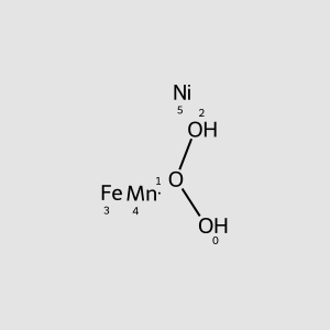 OOO.[Fe].[Mn].[Ni]